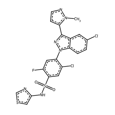 Cn1nccc1-c1nn(-c2cc(F)c(S(=O)(=O)Nc3cscn3)cc2Cl)c2ccc(Cl)cc12